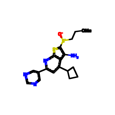 COCC[S@+]([O-])c1sc2nc(-c3cncnc3)cc(C3CCC3)c2c1N